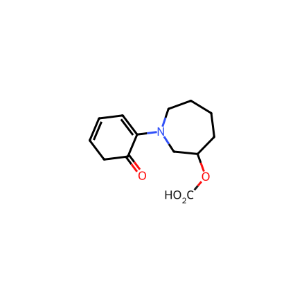 O=C(O)OC1CCCCN(C2=CC=CCC2=O)C1